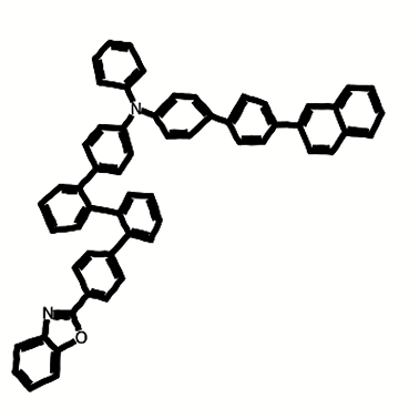 c1ccc(N(c2ccc(-c3ccc(-c4ccc5ccccc5c4)cc3)cc2)c2ccc(-c3ccccc3-c3ccccc3-c3ccc(-c4nc5ccccc5o4)cc3)cc2)cc1